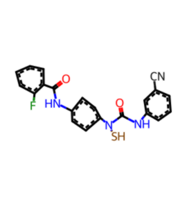 N#Cc1cccc(NC(=O)N(S)c2ccc(NC(=O)c3ccccc3F)cc2)c1